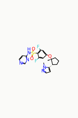 Cn1nccc1[C@H]1CCC[C@@]1(C)Oc1cc(F)c(S(=O)(=O)Nc2ccncn2)c(F)c1